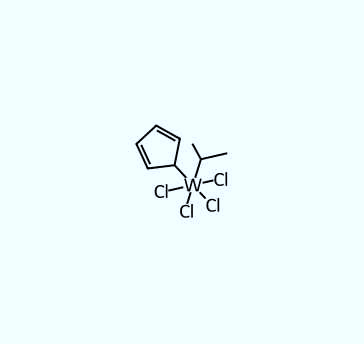 C[CH](C)[W]([Cl])([Cl])([Cl])([Cl])[CH]1C=CC=C1